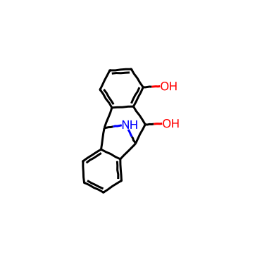 Oc1cccc2c1C(O)C1NC2c2ccccc21